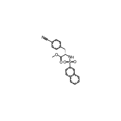 COC(=O)[C@H](Cc1ccc(C#N)cc1)NS(=O)(=O)c1ccc2ccccc2c1